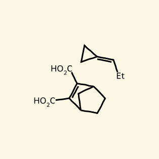 CCC=C1CC1.O=C(O)C1=C(C(=O)O)C2CCC1C2